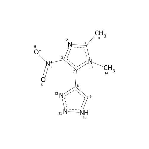 Cc1nc([N+](=O)[O-])c(-c2c[nH]nn2)n1C